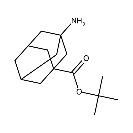 CC(C)(C)OC(=O)C12CC3CC(CC(N)(C3)C1)C2